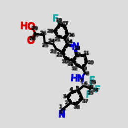 N#Cc1ccc([C@H](NCc2ccc3nc(-c4ccc(F)cc4)c(CCCCC(=O)O)cc3c2)C(F)(F)F)cc1